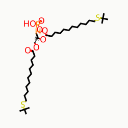 CC(C)(C)SCCCCCCCCCCCC(=O)OC[C@H](CO[PH](=O)O)OC(=O)CCCCCCCCCCCSC(C)(C)C